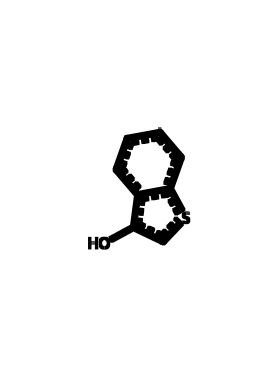 Oc1csc2c[c]ccc12